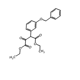 CCOC(=O)C(=O)C(C(=O)OCC)c1cccc(OCc2ccccc2)c1